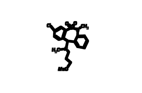 COCCCN(C)C1c2ccccc2N(C)S(=O)(=O)c2cc(Cl)ccc21